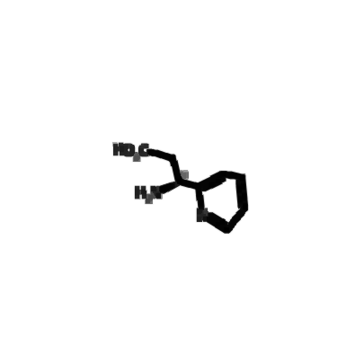 N[C@@H](CC(=O)O)c1ccccn1